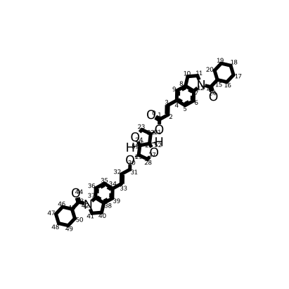 O=C(/C=C/c1ccc2c(c1)CCN2C(=O)C1CCCCC1)O[C@@H]1CO[C@H]2[C@@H]1OC[C@@H]2OC/C=C/c1ccc2c(c1)CCN2C(=O)C1CCCCC1